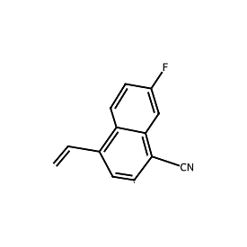 C=Cc1c[c]c(C#N)c2cc(F)ccc12